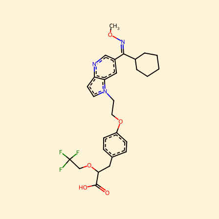 CO/N=C(\c1cnc2ccn(CCOc3ccc(CC(OCC(F)(F)F)C(=O)O)cc3)c2c1)C1CCCCC1